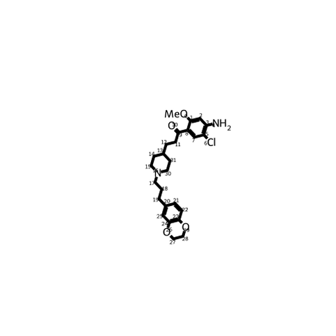 COc1cc(N)c(Cl)cc1C(=O)CCC1CCN(CCCc2ccc3c(c2)OCCO3)CC1